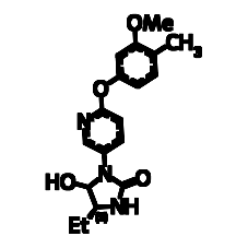 CC[C@@H]1NC(=O)N(c2ccc(Oc3ccc(C)c(OC)c3)nc2)C1O